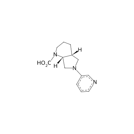 O=C(O)N1CCC[C@@H]2CN(c3cccnc3)C[C@@H]21